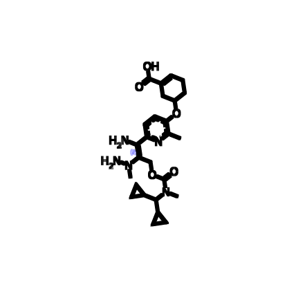 Cc1nc(/C(N)=C(\COC(=O)N(C)C(C2CC2)C2CC2)N(C)N)ccc1OC1CCC=C(C(=O)O)C1